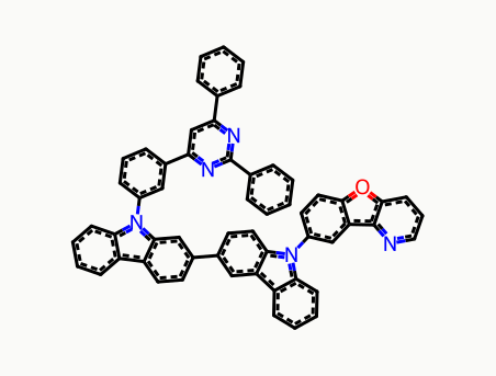 c1ccc(-c2cc(-c3cccc(-n4c5ccccc5c5ccc(-c6ccc7c(c6)c6ccccc6n7-c6ccc7oc8cccnc8c7c6)cc54)c3)nc(-c3ccccc3)n2)cc1